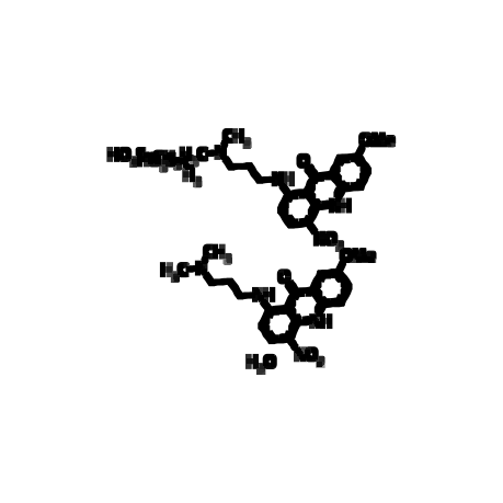 COc1ccc2[nH]c3c([N+](=O)[O-])ccc(NCCCN(C)C)c3c(=O)c2c1.COc1ccc2[nH]c3c([N+](=O)[O-])ccc(NCCCN(C)C)c3c(=O)c2c1.CS(=O)(=O)O.CS(=O)(=O)O.O